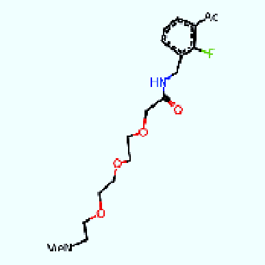 CNCCOCCOCCOCC(=O)NCc1cccc(C(C)=O)c1F